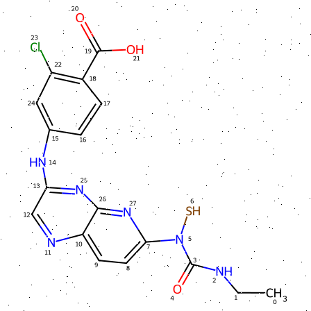 CCNC(=O)N(S)c1ccc2ncc(Nc3ccc(C(=O)O)c(Cl)c3)nc2n1